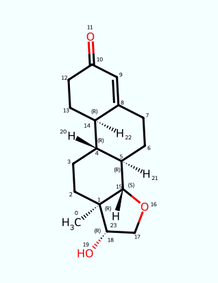 C[C@]12CC[C@H]3[C@@H](CCC4=CC(=O)CC[C@@H]43)[C@@H]1OC[C@@H]2O